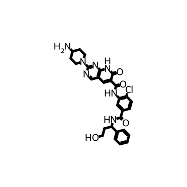 NC1CCN(c2ncc3cc(C(=O)Nc4cc(C(=O)NC(CCO)c5ccccc5)ccc4Cl)c(=O)[nH]c3n2)CC1